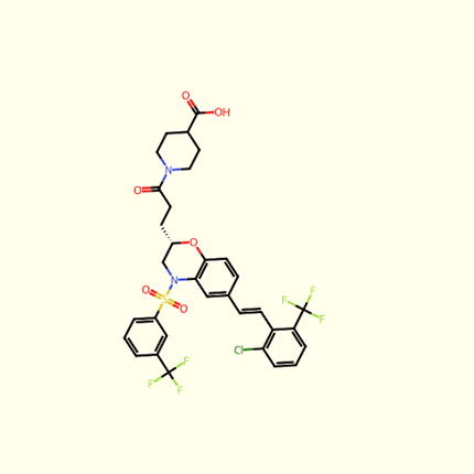 O=C(O)C1CCN(C(=O)CC[C@H]2CN(S(=O)(=O)c3cccc(C(F)(F)F)c3)c3cc(/C=C/c4c(Cl)cccc4C(F)(F)F)ccc3O2)CC1